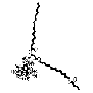 CCCCCCCCCCCCCCCC(=O)O[C@@H](COP(=O)(O)OC1C(O)[C@H](OP(=O)(O)O)C(OP(=O)(O)O)[C@H](OP(=O)(O)O)[C@@H]1O)CC(=O)OCCCCCCCCCCCCSC(=O)CCC